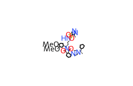 COc1ccc([C@@H](CCCNS(=O)(=O)c2cnn(C)c2C)N2C(=O)c3cccc(N4CCN([C@H](C)c5ccccc5)CC4)c3C2=O)cc1OC